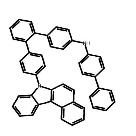 c1ccc(-c2ccc(Nc3ccc(-c4ccccc4-c4ccc(-n5c6ccccc6c6c7ccccc7ccc65)cc4)cc3)cc2)cc1